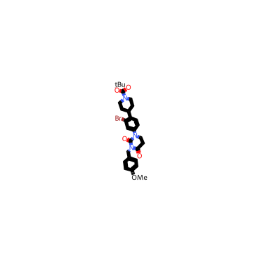 COc1ccc(CN2C(=O)CCN(c3ccc(C4CCN(C(=O)OC(C)(C)C)CC4)c(Br)c3)C2=O)cc1